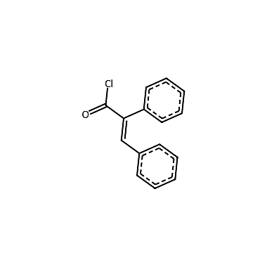 O=C(Cl)/C(=C/c1ccccc1)c1ccccc1